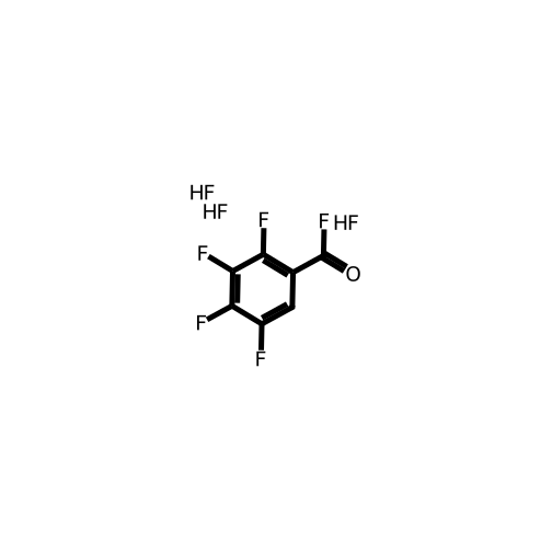 F.F.F.O=C(F)c1cc(F)c(F)c(F)c1F